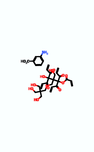 C=CC(=O)OC(C(=O)C=C)(C(=O)C=C)C(CO)(COCC(CO)(CO)CO)C(O)(C(=O)C=C)C(=O)C=C.Nc1cccc(C(=O)O)c1